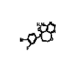 Nc1ncnc2c1C(=O)N(c1ccc(Br)c(F)c1)CCO2